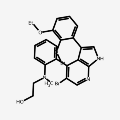 CCOc1cccc(-c2c[nH]c3ncc(Br)c(-c4ccccc4N(C)CCO)c23)c1OCC